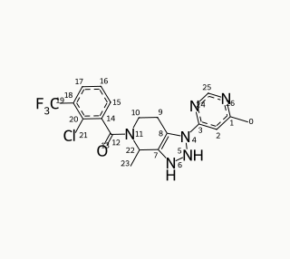 Cc1cc(N2NNC3=C2CCN(C(=O)c2cccc(C(F)(F)F)c2Cl)C3C)ncn1